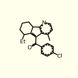 CCC1CCCC2C1=C(C(=O)c1ccc(Cl)cc1)c1c(C)ccnc12